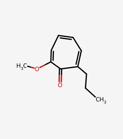 CCCc1ccccc(OC)c1=O